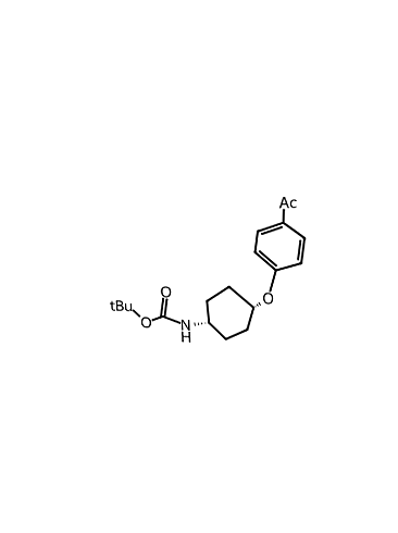 CC(=O)c1ccc(O[C@H]2CC[C@@H](NC(=O)OC(C)(C)C)CC2)cc1